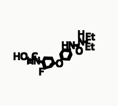 CCC(CC)NC(=O)Nc1ccc(Oc2ccc(NC(=O)O)c(F)c2)cc1